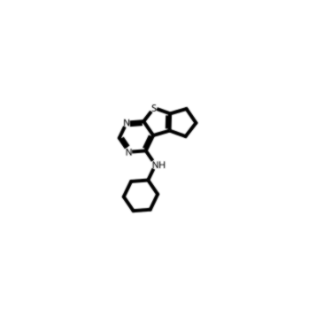 c1nc(NC2CCCCC2)c2c3c(sc2n1)CCC3